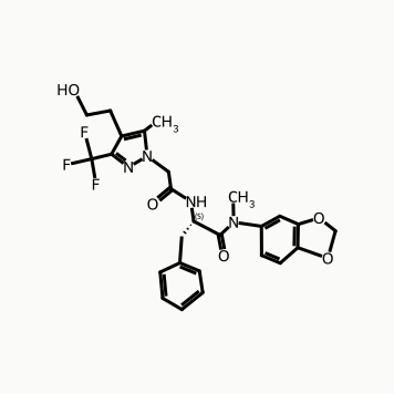 Cc1c(CCO)c(C(F)(F)F)nn1CC(=O)N[C@@H](Cc1ccccc1)C(=O)N(C)c1ccc2c(c1)OCO2